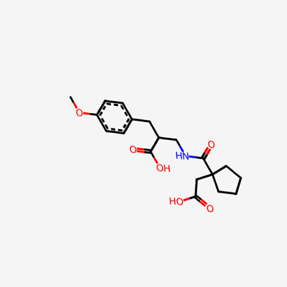 COc1ccc(CC(CNC(=O)C2(CC(=O)O)CCCC2)C(=O)O)cc1